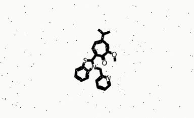 COc1cc(C(C)C)ccc(C2Sc3ccccc3N2Cc2ccccn2)c1=O